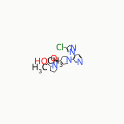 CC(C)(O)[C@@H]1CCCN1C(=O)C1CCN(c2cnccc2-n2cc(Cl)cn2)CC1